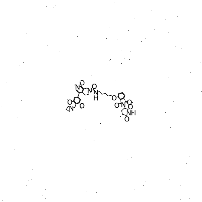 COc1cc(-c2cn(C)c(=O)c3c2CCN(C(=O)NCCCCCOc2cccc4c2C(=O)N(C2CCC(=O)NC2=O)C4=O)C3)cc(OC)c1CN1CCC1